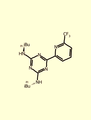 CC[C@@H](C)Nc1nc(N[C@H](C)CC)nc(-c2cccc(C(F)(F)F)n2)n1